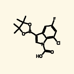 CC1(C)OB(c2cn(C(=O)O)c3c(Cl)cc(F)cc23)OC1(C)C